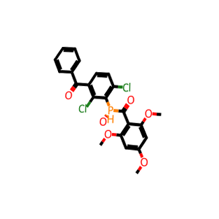 COc1cc(OC)c(C(=O)[PH](=O)c2c(Cl)ccc(C(=O)c3ccccc3)c2Cl)c(OC)c1